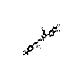 COCc1nc(NC[C@H](N)Cc2ccc(C(F)(F)F)cc2)sc1-c1ccc2c(c1)CC(=O)N2